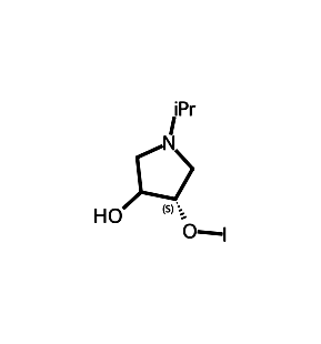 CC(C)N1CC(O)[C@@H](OI)C1